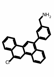 NCc1cccc(-c2cc3c4ccccc4c(Cl)cc3c3ccccc23)c1